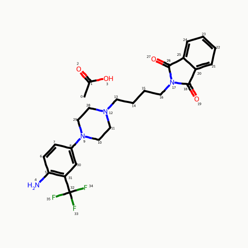 CC(=O)O.Nc1ccc(N2CCN(CCCCN3C(=O)c4ccccc4C3=O)CC2)cc1C(F)(F)F